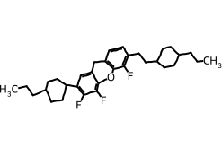 CCCC1CCC(CCc2ccc3c(c2F)Oc2c(cc(C4CCC(CCC)CC4)c(F)c2F)C3)CC1